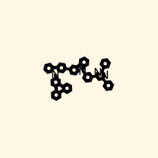 c1ccc(-c2cc(-c3cccc(-n4c5ccccc5c5cc(-c6ccc7c8ccccc8n(-c8ccc9c%10ccccc%10c%10ccccc%10c9c8)c7c6)ccc54)c3)nc(-c3ccccc3)n2)cc1